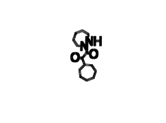 O=C(C(=O)N1CCCCCN1)C1CCCCCC1